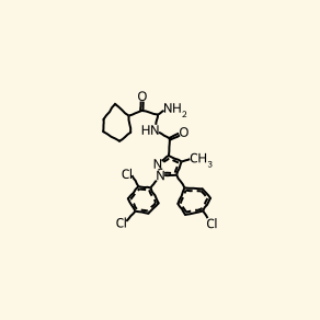 Cc1c(C(=O)NC(N)C(=O)C2CCCCC2)nn(-c2ccc(Cl)cc2Cl)c1-c1ccc(Cl)cc1